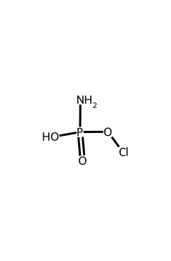 NP(=O)(O)OCl